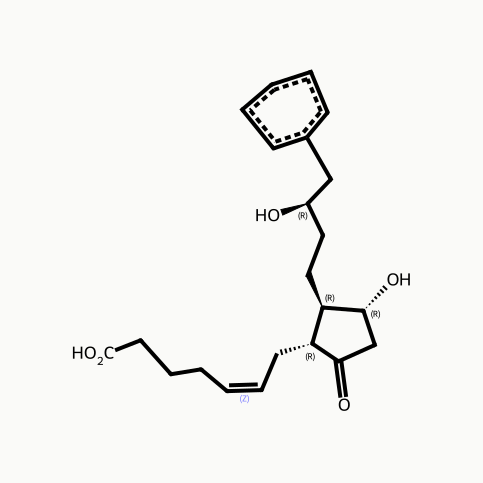 O=C(O)CCC/C=C\C[C@H]1C(=O)C[C@@H](O)[C@@H]1CC[C@@H](O)Cc1ccccc1